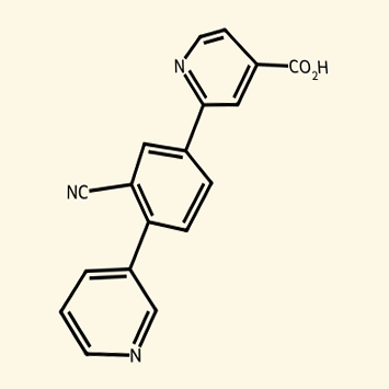 N#Cc1cc(-c2cc(C(=O)O)ccn2)ccc1-c1cccnc1